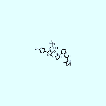 Cc1nnsc1C(=O)Nc1ncccc1-n1cnc(Cn2nc(-c3ccc(Cl)cc3)n(C[C@H](O)C(F)(F)F)c2=O)n1